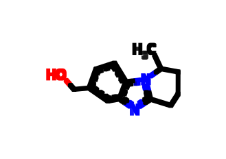 CC1CCCc2nc3cc(CO)ccc3n21